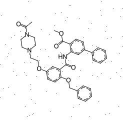 COC(=O)c1ccc(-c2ccccc2)cc1NC(=O)c1cc(OCCN2CCN(C(C)=O)CC2)ccc1OCc1ccccc1